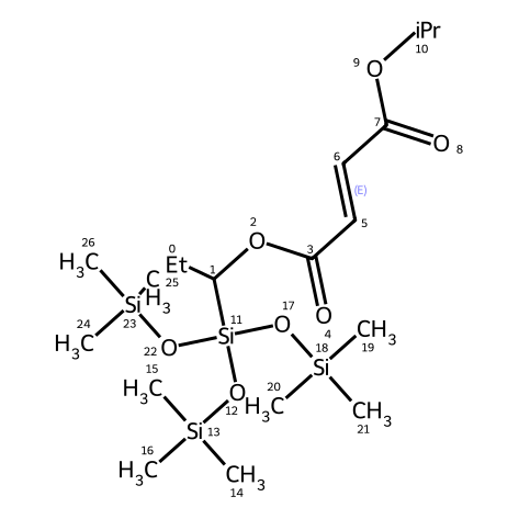 CCC(OC(=O)/C=C/C(=O)OC(C)C)[Si](O[Si](C)(C)C)(O[Si](C)(C)C)O[Si](C)(C)C